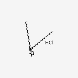 CCCCCCCCCCCCCC/C=C/C=C/N(/C=C/C=C/CCCCCCCCCCCCCC)Cc1cccc(C)c1C.Cl